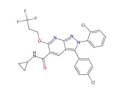 O=C(NC1CC1)c1cc2c(-c3ccc(Cl)cc3)n(-c3ccccc3Cl)nc2nc1OCCC(F)(F)F